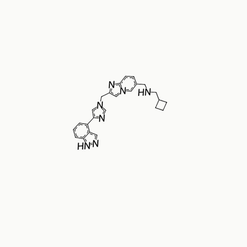 c1cc(-c2cn(Cc3cn4cc(CNCC5CCC5)ccc4n3)cn2)c2cn[nH]c2c1